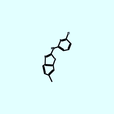 Cc1ccc2nc(Nc3cccc(Cl)n3)sc2c1